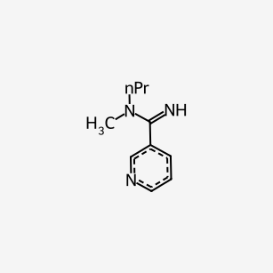 CCCN(C)C(=N)c1cccnc1